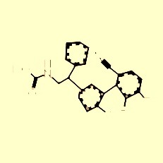 N#Cc1ccc(F)c(F)c1-c1cc(C(CNC(=O)O)c2ccccc2)ccc1Cl